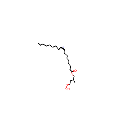 CCCCCCCC/C=C\CCCCCCCC(=O)OCC(C)CCOO